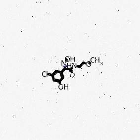 COCCNC(=O)/C(=N\O)c1cc(O)cc(Cl)c1